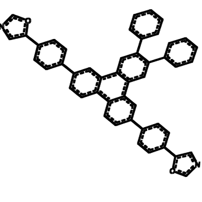 c1ccc(-c2cc3c4cc(-c5ccc(-c6cnco6)cc5)ccc4c4ccc(-c5ccc(-c6cnco6)cc5)cc4c3cc2-c2ccccc2)cc1